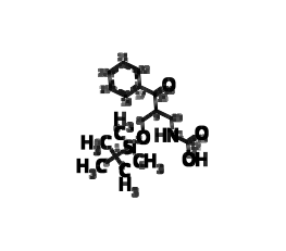 CC(C)(C)[Si](C)(C)OCC(CNC(=O)O)C(=O)c1ccccc1